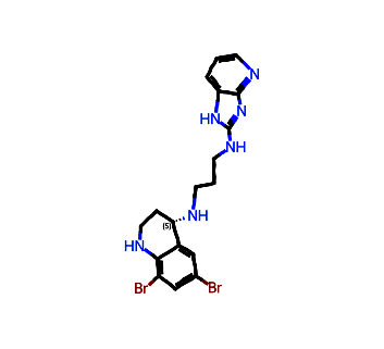 Brc1cc(Br)c2c(c1)[C@@H](NCCCNc1nc3ncccc3[nH]1)CCN2